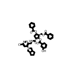 O=C(OC[C@H]1C(OC(=O)c2cccc(O)c2)[C@H](C(=O)NCc2nnc(Cl)cc2N2CC3CCCC3C2)C[C@H]1OC(=O)c1ccccc1)c1ccccc1